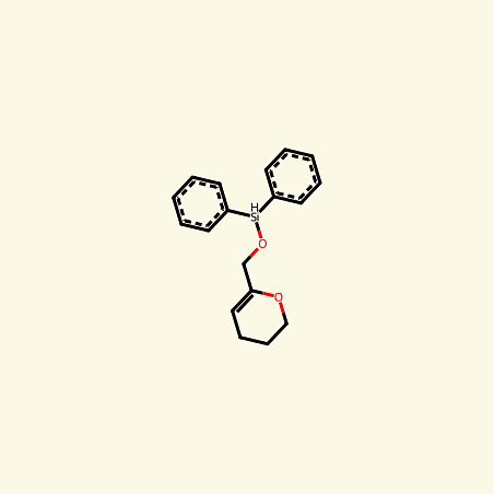 C1=C(CO[SiH](c2ccccc2)c2ccccc2)OCCC1